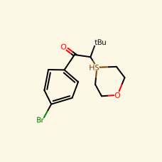 CC(C)(C)C(C(=O)c1ccc(Br)cc1)[SH]1CCOCC1